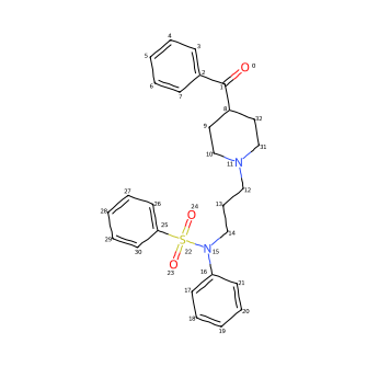 O=C(c1ccccc1)C1CCN(CCCN(c2ccccc2)S(=O)(=O)c2ccccc2)CC1